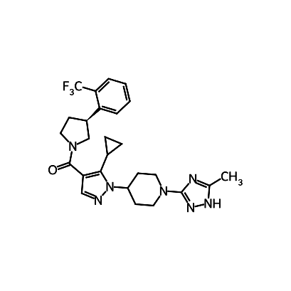 Cc1nc(N2CCC(n3ncc(C(=O)N4CC[C@@H](c5ccccc5C(F)(F)F)C4)c3C3CC3)CC2)n[nH]1